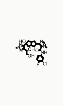 Cn1nc([C@H](O)CO)c(C2(O)CC3CC(c4ncn(C)c4C(=O)Nc4ccc(F)c(Cl)c4)CC3C2)n1